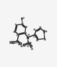 O=C(O)c1ccc(F)cc1N(C1=CCSC=C1)[SH](=O)=O